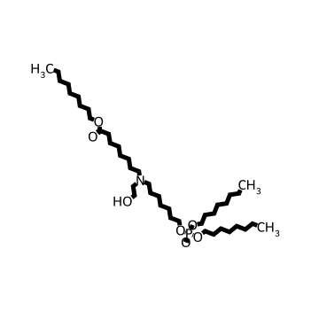 CCCCCCCCCOC(=O)CCCCCCCN(CCO)CCCCCCCOP(=O)(OCCCCCCCC)OCCCCCCCC